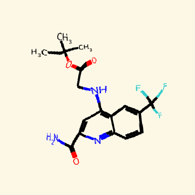 CC(C)(C)OC(=O)CNc1cc(C(N)=O)nc2ccc(C(F)(F)F)cc12